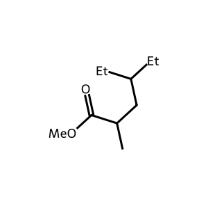 CCC(CC)CC(C)C(=O)OC